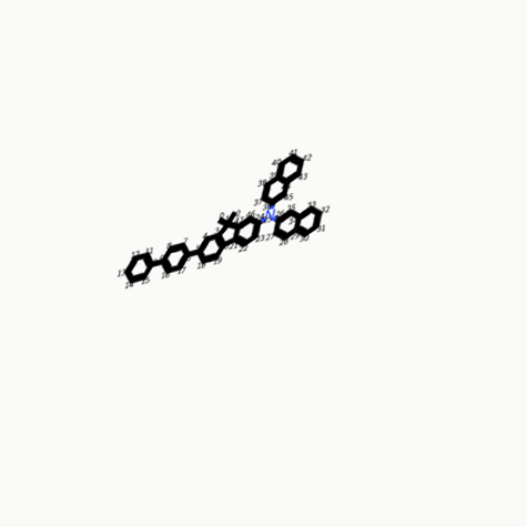 CC1(C)c2cc(-c3ccc(-c4ccccc4)cc3)ccc2-c2ccc(N(c3ccc4ccccc4c3)c3ccc4ccccc4c3)cc21